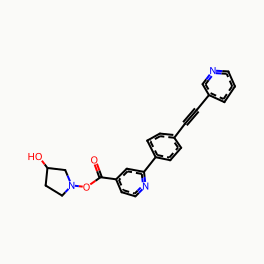 O=C(ON1CCC(O)C1)c1ccnc(-c2ccc(C#Cc3cccnc3)cc2)c1